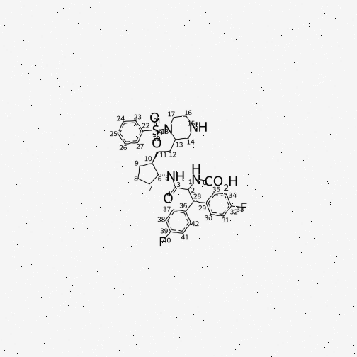 O=C(O)NC(C(=O)N[C@@H]1CCC[C@H]1CCC1CNCCN1S(=O)(=O)c1ccccc1)C(c1ccc(F)cc1)c1ccc(F)cc1